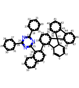 C1=CC2c3c(-c4ccc5ccccc5c4-c4nc(-c5ccccc5)nc(-c5ccccc5)n4)cccc3C3(c4ccccc4-c4ccccc43)C2C=C1